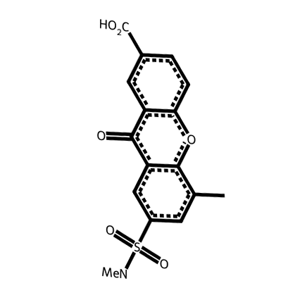 CNS(=O)(=O)c1cc(C)c2oc3ccc(C(=O)O)cc3c(=O)c2c1